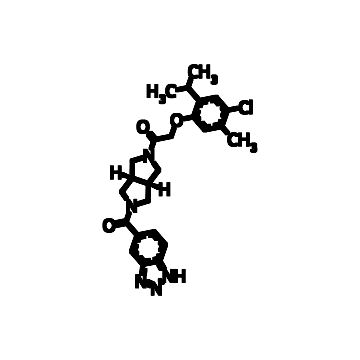 Cc1cc(OCC(=O)N2C[C@@H]3CN(C(=O)c4ccc5[nH]nnc5c4)C[C@@H]3C2)c(C(C)C)cc1Cl